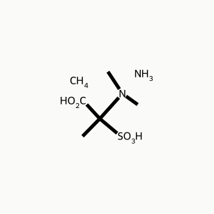 C.CN(C)C(C)(C(=O)O)S(=O)(=O)O.N